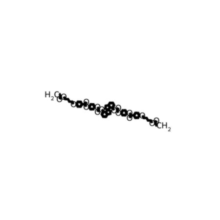 C=CC(=O)OCCCCOc1ccc(C(=O)Oc2ccc(OC(=O)Oc3cccc4c3C3(CC4)CCc4cccc(OC(=O)Oc5ccc(OC(=O)c6ccc(OCCCCOC(=O)C=C)cc6)cc5)c43)cc2)cc1